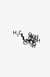 CCCCCN(C)CCC(O)(O[PH](=O)O)O[PH](=O)O